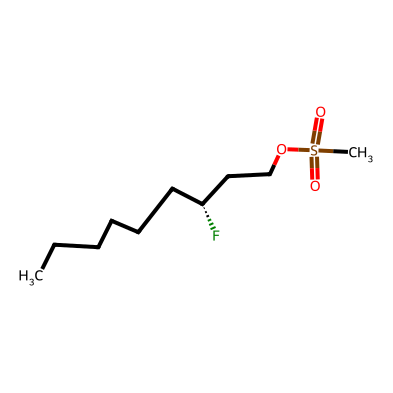 CCCCCC[C@@H](F)CCOS(C)(=O)=O